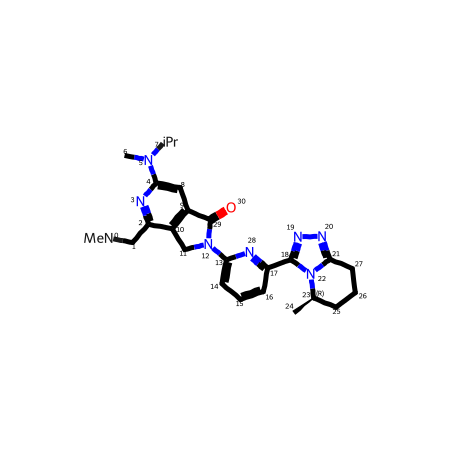 CNCc1nc(N(C)C(C)C)cc2c1CN(c1cccc(-c3nnc4n3[C@H](C)CCC4)n1)C2=O